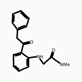 CNC(=O)CNc1ccccc1C(=O)Cc1ccccc1